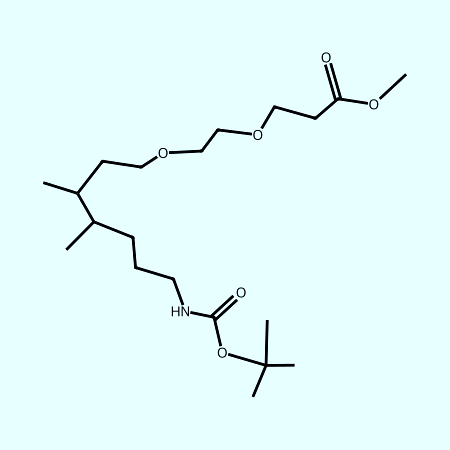 COC(=O)CCOCCOCCC(C)C(C)CCCNC(=O)OC(C)(C)C